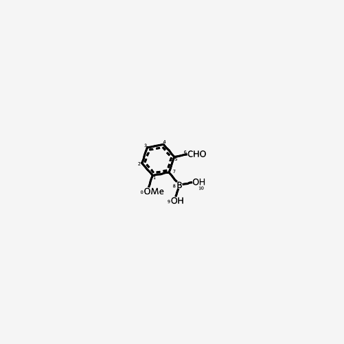 COc1cccc(C=O)c1B(O)O